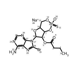 CCCC(=O)OC1C2OP([O-])(=S)OCC2OC1n1c(Br)nc2c(N)ncnc21.[Na+]